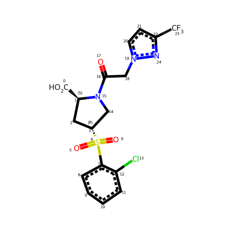 O=C(O)[C@@H]1C[C@@H](S(=O)(=O)c2ccccc2Cl)CN1C(=O)Cn1ccc(C(F)(F)F)n1